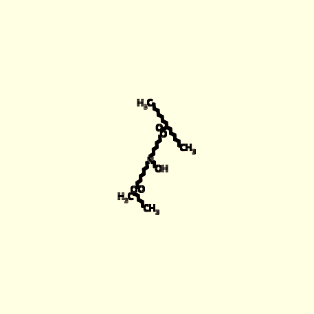 CCCCCCCCC(CCCCCCC)C(=O)OCCCCCCCN(CCO)CCCCCCCC(=O)OC(C)CCCCC